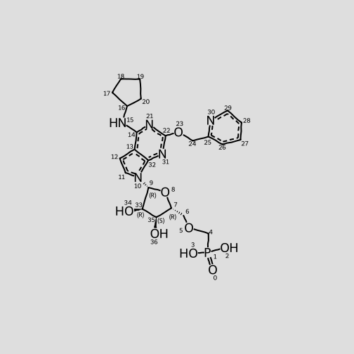 O=P(O)(O)COC[C@H]1O[C@@H](n2ccc3c(NC4CCCC4)nc(OCc4ccccn4)nc32)[C@H](O)[C@@H]1O